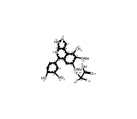 COc1cc2c(-c3ccc(O)c([N+](=O)[O-])c3)nc3[nH]ncc3c2c(C)c1OC.O=C(O)C(F)(F)F